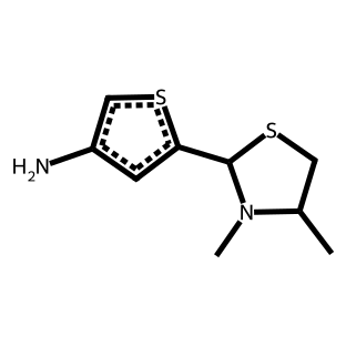 CC1CSC(c2cc(N)cs2)N1C